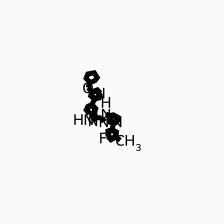 Cc1cc(F)cc(-c2nccc3[nH]c(-c4n[nH]c5ccc(-c6cncc(OC7CCCCC7)c6)cc45)nc23)c1